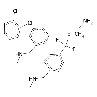 C.CN.CNCc1ccc(C(F)(F)F)cc1.CNCc1ccccc1.Clc1ccccc1Cl